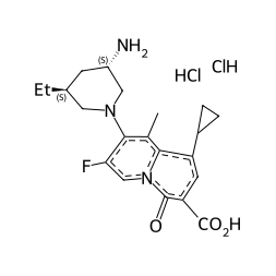 CC[C@H]1C[C@H](N)CN(c2c(F)cn3c(=O)c(C(=O)O)cc(C4CC4)c3c2C)C1.Cl.Cl